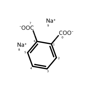 O=C([O-])c1ccccc1C(=O)[O-].[Na+].[Na+]